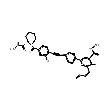 C=N/C=C\c1nc(-c2ccc(C#Cc3ccc(C(=O)N4CCCC[C@H]4C(=O)NN)cc3Cl)cc2)cc(C(=O)NN)c1C